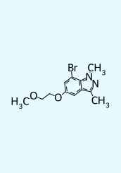 COCCOc1cc(Br)c2c(c1)c(C)nn2C